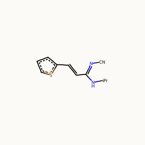 CC(C)NC(C=Cc1cccs1)=NC#N